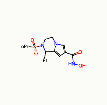 CCCS(=O)(=O)N1CCn2cc(C(=O)NO)cc2C1CC